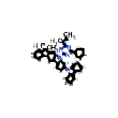 C/C=C(\C)c1nc(-c2ccccc2)nc(-n2c3cc(-n4c5ccccc5c5ccccc54)ccc3c3cc4c(cc32)C(C)(C)c2ccccc2-4)n1